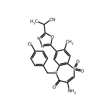 Cc1cc2c(cc1-c1nnc(C(C)C#N)o1)N(Cc1ccc(Cl)cc1)C(=O)C(N)=CS2(=O)=O